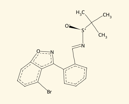 CC(C)(C)[S@+]([O-])/N=C/c1ccccc1-c1noc2cccc(Br)c12